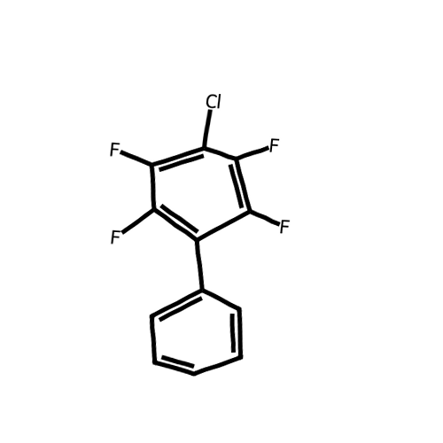 Fc1c(F)c(-c2ccccc2)c(F)c(F)c1Cl